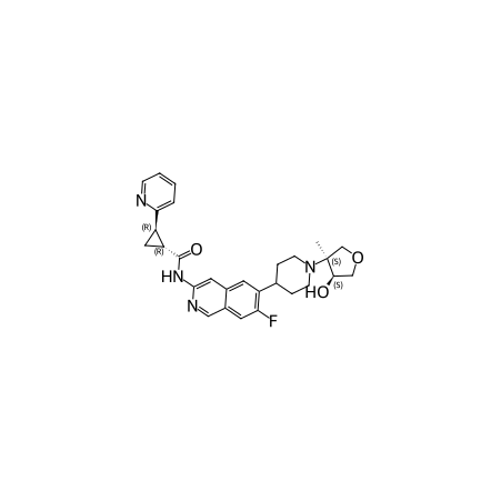 C[C@]1(N2CCC(c3cc4cc(NC(=O)[C@@H]5C[C@H]5c5ccccn5)ncc4cc3F)CC2)COC[C@H]1O